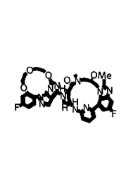 CO[C@@H]1CN(C)C(=O)[C@@H]2C[C@@H](CN2c2nc3nc4c2cnn4-c2ccc(F)cc2OCCOCCO3)Nc2cccc(n2)-c2cc(F)cc3nc(C)n(c23)C1